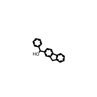 OC(c1ccccc1)c1ccc2c(c1)Cc1ccccc1-2